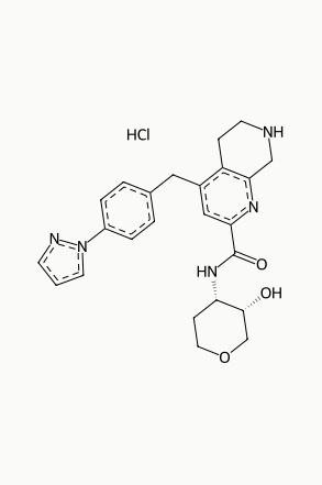 Cl.O=C(N[C@H]1CCOC[C@H]1O)c1cc(Cc2ccc(-n3cccn3)cc2)c2c(n1)CNCC2